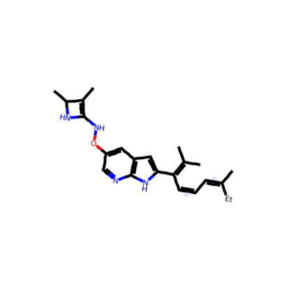 CC/C(C)=C\C=C/C(=C(C)C)c1cc2cc(ONC3=C(C)C(C)N3)cnc2[nH]1